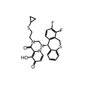 O=C1c2c(O)c(=O)ccn2N([C@@H]2c3ccccc3SCc3c2ccc(F)c3F)CN1CCSC1CC1